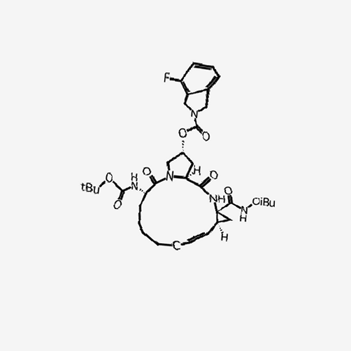 CC(C)CONC(=O)[C@@]12C[C@H]1/C=C\CCCCC[C@H](NC(=O)OC(C)(C)C)C(=O)N1C[C@H](OC(=O)N3Cc4cccc(F)c4C3)C[C@H]1C(=O)N2